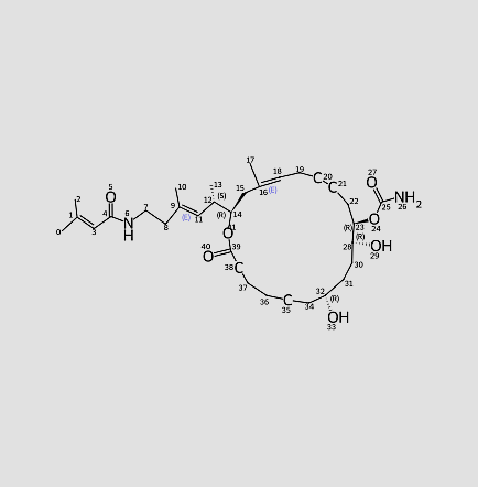 CC(C)=CC(=O)NCC/C(C)=C/[C@H](C)[C@H]1C/C(C)=C/CCCC[C@@H](OC(N)=O)[C@H](O)CC[C@H](O)CCCCCC(=O)O1